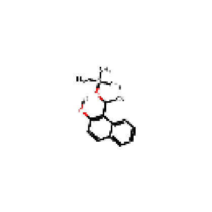 CCOc1ccc2ccccc2c1C(C#N)O[Si](C)(C)C